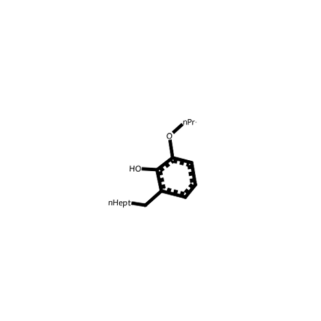 CC[CH]Oc1cccc(CCCCCCCC)c1O